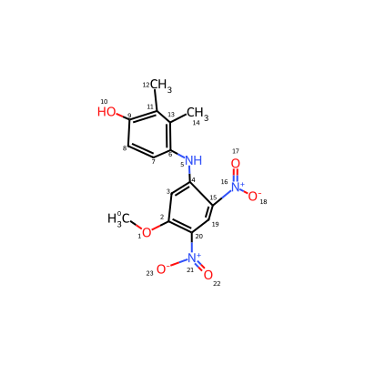 COc1cc(Nc2ccc(O)c(C)c2C)c([N+](=O)[O-])cc1[N+](=O)[O-]